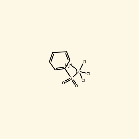 [NH2][Cr]([Cl])([Cl])([Cl])[S](=O)(=O)c1ccccc1